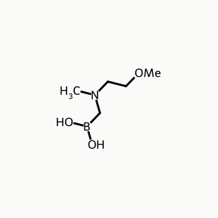 COCCN(C)CB(O)O